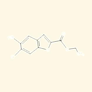 CCOC(=O)c1cc2[c]c(O)c(Br)cc2o1